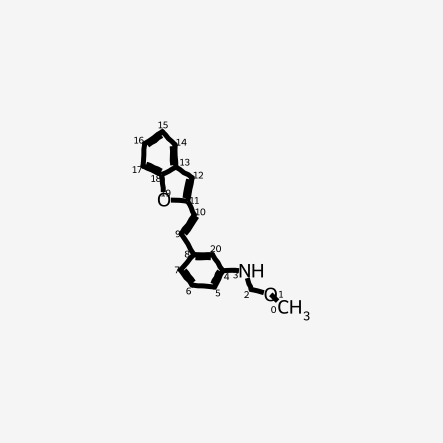 COCNc1cccc(/C=C/c2cc3ccccc3o2)c1